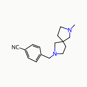 CN1CCC2(CCN(Cc3ccc(C#N)cc3)C2)C1